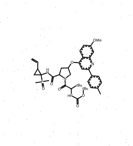 C=CC1CC1(NC(=O)C1CC(Oc2cc(-c3ccc(C)cc3)nc3cc(OC)ccc23)CN1C(=O)C(NC(=O)OC(C)(C)C)C(C)(C)C)P(C)(C)=O